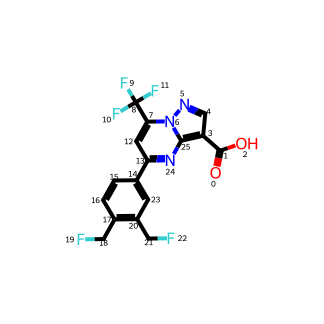 O=C(O)c1cnn2c(C(F)(F)F)cc(-c3ccc(CF)c(CF)c3)nc12